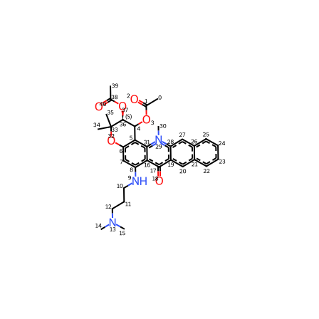 CC(=O)OC1c2c(cc(NCCCN(C)C)c3c(=O)c4cc5ccccc5cc4n(C)c23)OC(C)(C)[C@H]1OC(C)=O